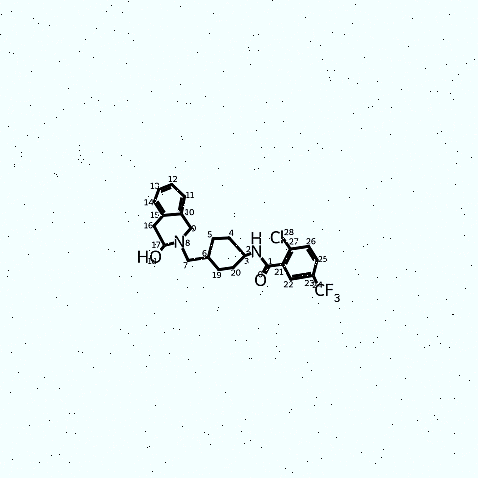 O=C(NC1CCC(CN2Cc3ccccc3CC2O)CC1)c1cc(C(F)(F)F)ccc1Cl